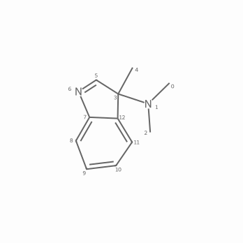 CN(C)C1(C)C=Nc2ccccc21